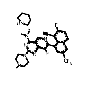 C#Cc1c(F)ccc2cc(C(F)(F)F)cc(-c3ncc4c(N(C)C[C@H]5CCCCN5)nc(N5CCN(C)CC5)nc4c3F)c12